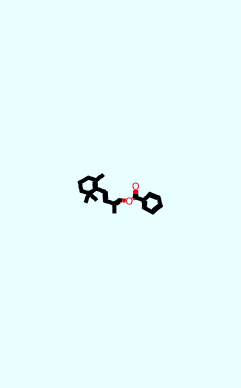 CC(C=CC1=C(C)CCCC1(C)C)=COC(=O)c1ccccc1